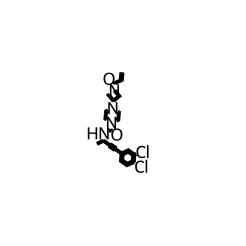 C=CC(=O)N1CC(N2CCN(C(=O)NC(C)C#Cc3ccc(Cl)c(Cl)c3)CC2)C1